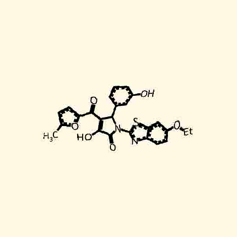 CCOc1ccc2nc(N3C(=O)C(O)=C(C(=O)c4ccc(C)o4)C3c3cccc(O)c3)sc2c1